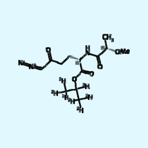 [2H]C([2H])([2H])C([2H])(OC(=O)[C@H](CCC(=O)C=[N+]=[N-])NC(=O)[C@H](C)OC)C([2H])([2H])[2H]